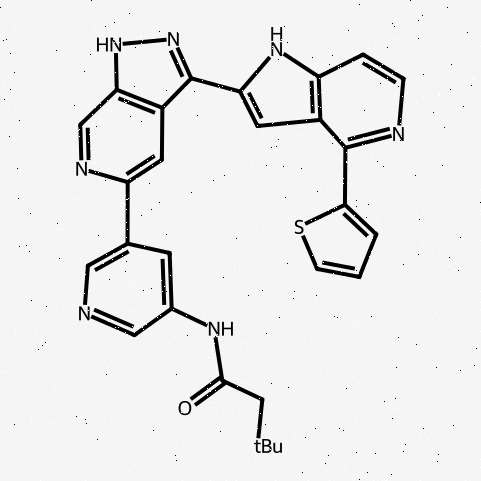 CC(C)(C)CC(=O)Nc1cncc(-c2cc3c(-c4cc5c(-c6cccs6)nccc5[nH]4)n[nH]c3cn2)c1